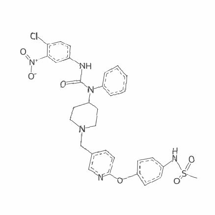 CS(=O)(=O)Nc1ccc(Oc2ccc(CN3CCC(N(C(=O)Nc4ccc(Cl)c([N+](=O)[O-])c4)c4ccccc4)CC3)cn2)cc1